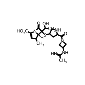 CC(=N)NC1CN(C(=O)C2CC(SC3(C(C)O)C(=O)N4C(C(=O)O)=CC(C)[C@H]43)CN2)C1